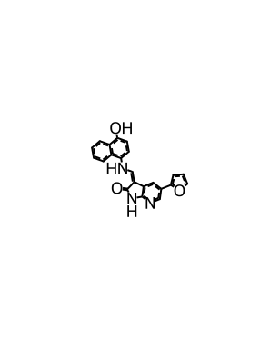 O=C1Nc2ncc(-c3ccco3)cc2C1=CNc1ccc(O)c2ccccc12